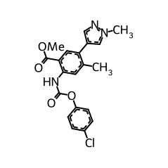 COC(=O)c1cc(-c2cnn(C)c2)c(C)cc1NC(=O)Oc1ccc(Cl)cc1